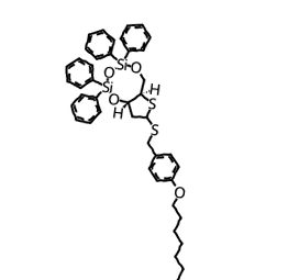 CCCCCCCCOc1ccc(CSC2C[C@@H]3O[Si](c4ccccc4)(c4ccccc4)O[Si](c4ccccc4)(c4ccccc4)OC[C@H]3S2)cc1